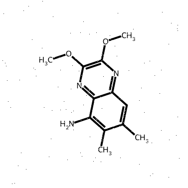 COc1nc2cc(C)c(C)c(N)c2nc1OC